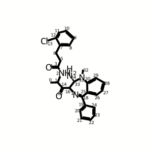 CC(NC(=O)CCc1ccccc1Cl)C(=O)C1N=C(c2ccccc2)c2ccccc2N(C)[C@@H]1N